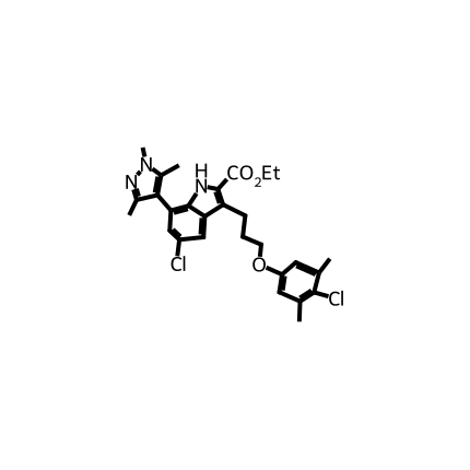 CCOC(=O)c1[nH]c2c(-c3c(C)nn(C)c3C)cc(Cl)cc2c1CCCOc1cc(C)c(Cl)c(C)c1